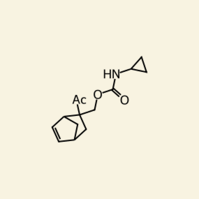 CC(=O)C1(COC(=O)NC2CC2)CC2C=CC1C2